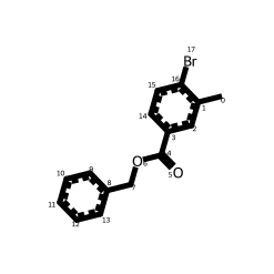 Cc1cc(C(=O)OCc2ccccc2)ccc1Br